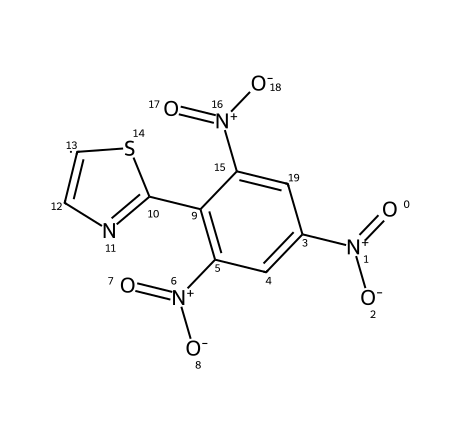 O=[N+]([O-])c1cc([N+](=O)[O-])c(-c2nc[c]s2)c([N+](=O)[O-])c1